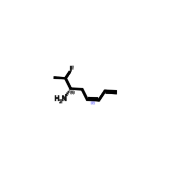 C=C/C=C\C[C@H](N)C(C)F